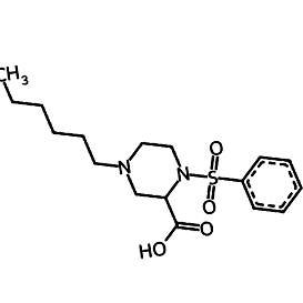 CCCCCCN1CCN(S(=O)(=O)c2ccccc2)C(C(=O)O)C1